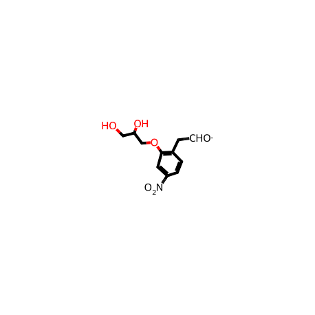 O=[C]Cc1ccc([N+](=O)[O-])cc1OCC(O)CO